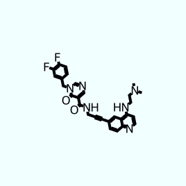 CN(C)CCNc1ccnc2ccc(C#CCNC(=O)c3cncn(Cc4ccc(F)c(F)c4)c3=O)cc12